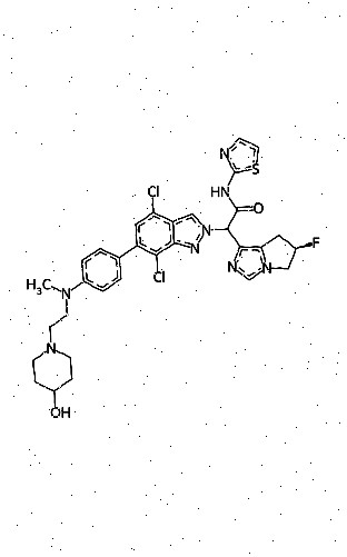 CN(CCN1CCC(O)CC1)c1ccc(-c2cc(Cl)c3cn(C(C(=O)Nc4nccs4)c4ncn5c4C[C@@H](F)C5)nc3c2Cl)cc1